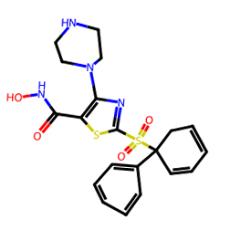 O=C(NO)c1sc(S(=O)(=O)C2(c3ccccc3)C=CC=CC2)nc1N1CCNCC1